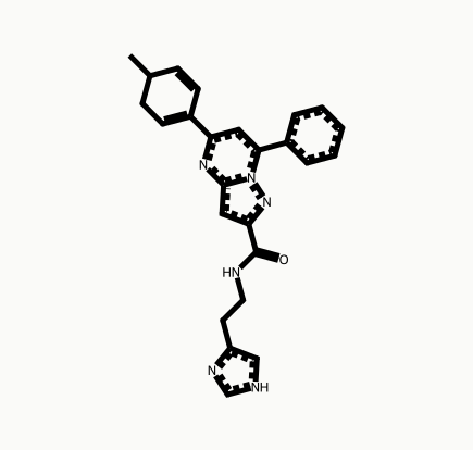 CC1C=CC(c2cc(-c3ccccc3)n3nc(C(=O)NCCc4c[nH]cn4)cc3n2)=CC1